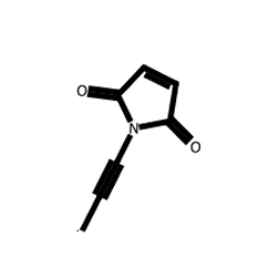 [CH2]C#CN1C(=O)C=CC1=O